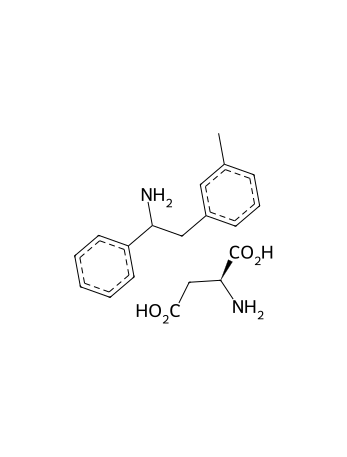 Cc1cccc(CC(N)c2ccccc2)c1.N[C@@H](CC(=O)O)C(=O)O